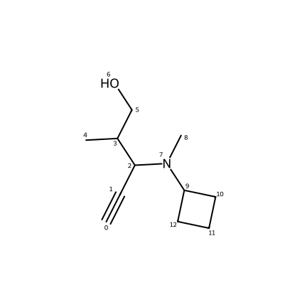 C#CC(C(C)CO)N(C)C1CCC1